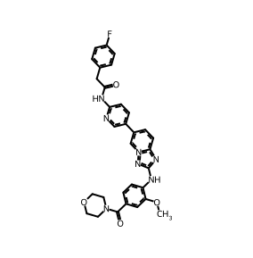 COc1cc(C(=O)N2CCOCC2)ccc1Nc1nc2ccc(-c3ccc(NC(=O)Cc4ccc(F)cc4)nc3)cn2n1